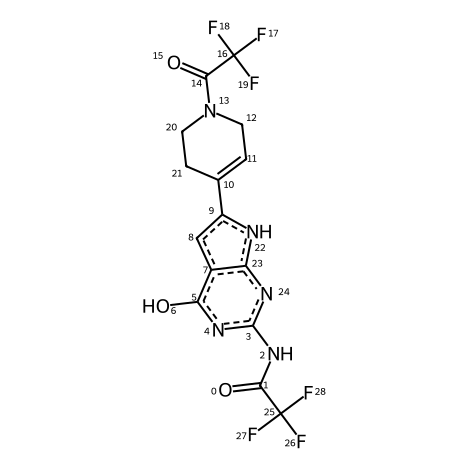 O=C(Nc1nc(O)c2cc(C3=CCN(C(=O)C(F)(F)F)CC3)[nH]c2n1)C(F)(F)F